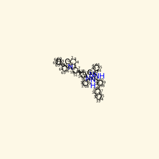 CC1CCCC2C3C[C@H](C4CCC5C(C4)C4C=CCCC4N5C4NC(C5=CC(C6CCC7CCC=CC7C6)CCC5)NC(C5CCCCC5)N4C)C=CC3N(C3=CC(C4CCCCC4)CCC3)C12